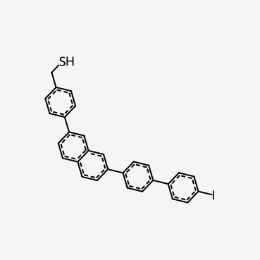 SCc1ccc(-c2ccc3ccc(-c4ccc(-c5ccc(I)cc5)cc4)cc3c2)cc1